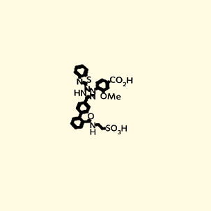 COc1cc(C(=O)O)ccc1N1N=C(c2ccc(-c3ccccc3C(=O)NCCS(=O)(=O)O)cc2)NN1c1nc2ccccc2s1